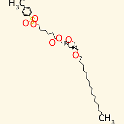 CCCCCCCCCCCCCCCCOC[C@@H]1CO[C@@H](COC(=O)CCCCCOS(=O)(=O)c2ccc(C)cc2)C1